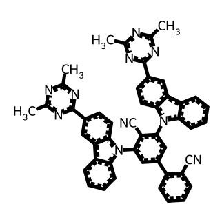 Cc1nc(C)nc(-c2ccc3c(c2)c2ccccc2n3-c2cc(-c3ccccc3C#N)cc(-n3c4ccccc4c4cc(-c5nc(C)nc(C)n5)ccc43)c2C#N)n1